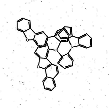 c1ccc(N(c2ccccc2-n2c3ccccc3c3ccccc32)c2cccc3oc4c5ccccc5ccc4c23)c(-c2ccc3oc4ccccc4c3c2)c1